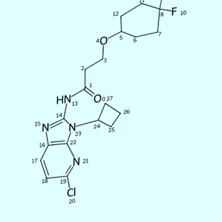 O=C(CCOC1CCC(F)(F)CC1)Nc1nc2ccc(Cl)nc2n1C1CCC1